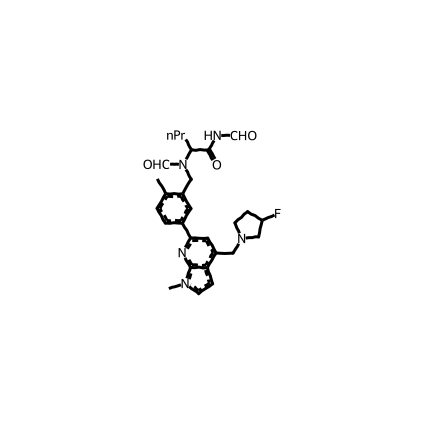 CCCC(C(=O)NC=O)N(C=O)Cc1cc(-c2cc(CN3CCC(F)C3)c3ccn(C)c3n2)ccc1C